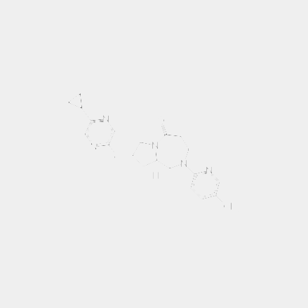 O=C1CCN(c2ccc(C(F)(F)F)cn2)C[C@H]2C[C@H](Oc3cnc(C4CC4)cn3)CN12